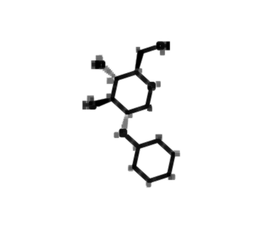 OC[C@H]1O[CH][C@H](OC2CCCCC2)[C@@H](O)[C@@H]1O